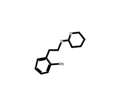 Oc1ccccc1CCOC1CCCCO1